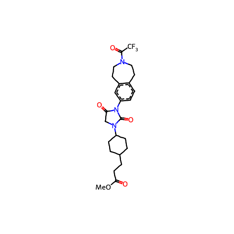 COC(=O)CCC1CCC(N2CC(=O)N(c3ccc4c(c3)CCN(C(=O)C(F)(F)F)CC4)C2=O)CC1